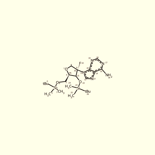 CC(C)(C)[Si](C)(C)OC[C@H]1OC[C@@](F)(n2cnc3c(N)ncnc32)C1O[Si](C)(C)C(C)(C)C